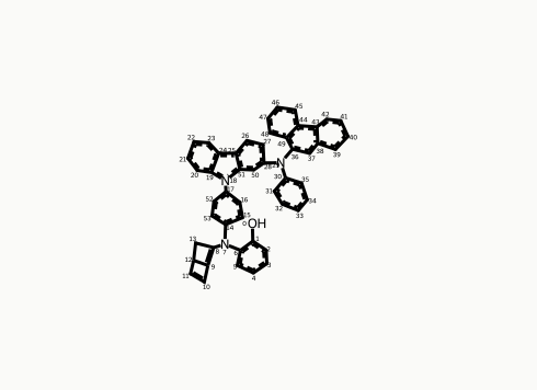 Oc1ccccc1N(C1=C2C=CC2C1)c1ccc(-n2c3ccccc3c3ccc(N(c4ccccc4)c4cc5ccccc5c5ccccc45)cc32)cc1